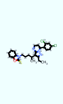 CCc1nn2c(-c3ccc(Cl)cc3Cl)ccnc2c1C(C)CCCn1c(=S)oc2ccccc21